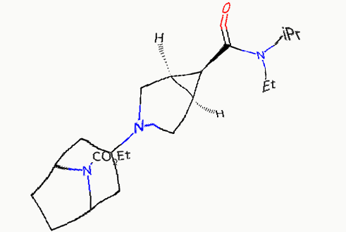 CCOC(=O)N1C2CCC1CC(N1C[C@@H]3[C@H](C1)[C@@H]3C(=O)N(CC)C(C)C)C2